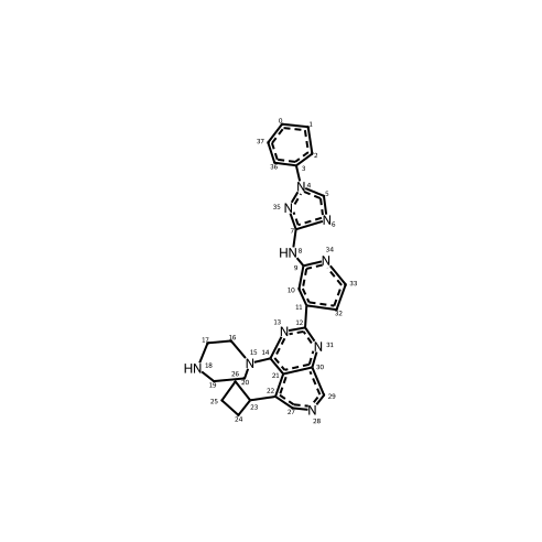 c1ccc(-n2cnc(Nc3cc(-c4nc(N5CCNCC5)c5c(C6CCC6)cncc5n4)ccn3)n2)cc1